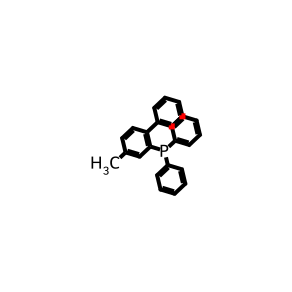 Cc1ccc(-c2ccccc2)c(P(c2ccccc2)c2ccccc2)c1